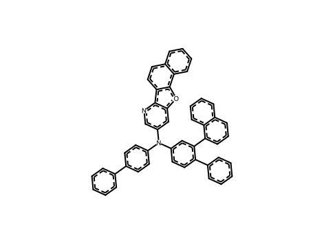 c1ccc(-c2ccc(N(c3ccc(-c4ccccc4)c(-c4cccc5ccccc45)c3)c3cnc4c(c3)oc3c5ccccc5ccc43)cc2)cc1